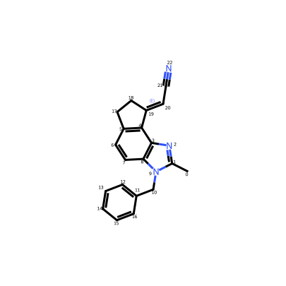 Cc1nc2c3c(ccc2n1Cc1ccccc1)CC/C3=C\C#N